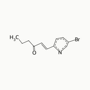 CCCC(=O)/C=C/c1ccc(Br)cn1